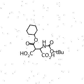 CC(C)(C)OC(=O)NC(C(=O)O)C(C(=O)O)C(=O)OC1CCCCC1